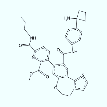 CCCNC(=O)c1ccc(-c2cc3c(cc2C(=O)Nc2ccc(C4(N)CCC4)cc2)-c2sccc2CCO3)c(C(=O)OC)n1